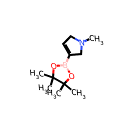 CN1CC=C(B2OC(C)(C)C(C)(C)O2)C1